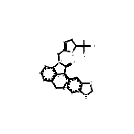 O=C1N(CC2=CCC(C(F)(F)F)O2)c2cccc3c2C1(c1ccc2c(c1)OCO2)OCC3